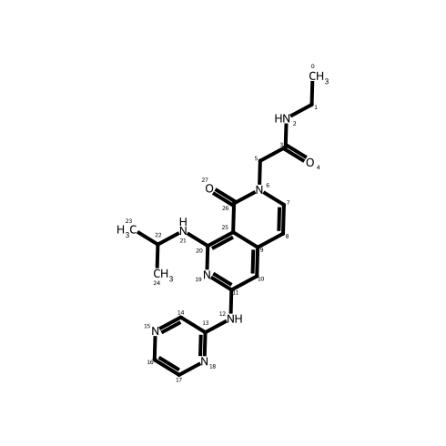 CCNC(=O)Cn1ccc2cc(Nc3cnccn3)nc(NC(C)C)c2c1=O